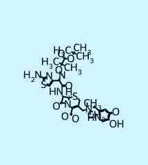 CC(C)(C)OC(=O)C(C)(C)O/N=C(/C(=O)N[C@@H]1C(=O)N2C(C(=O)[O-])=C(C[N+](C)(C)Cc3cc(=O)c(O)c[nH]3)CS[C@H]12)c1csc(N)n1